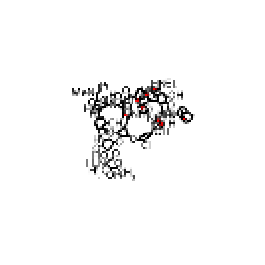 CCNCCOc1ccc(C(=O)NC(=O)C2NC(=O)[C@H](NC(=O)[C@@H](CC(C)C)NC)[C@H](O)c3ccc(c(C)c3)Oc3cc4cc(c3O[C@@H]3C[C@H](CO)[C@@H](O)[C@H](O)[C@H]3O[C@H]3C[C@](C)(N)[C@H](O)[C@H](C)O3)Oc3ccc(cc3Cl)[C@@H](O)[C@@H]3NC(=O)[C@H](NC(=O)[C@@H]4NC2=O)c2ccc(O)c(c2)-c2c(O)cc(O)cc2[C@@H](C(=O)NC2C4CC5CC(C4)CC2C5)NC3=O)cc1